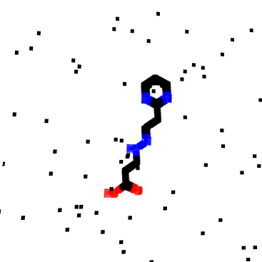 O=C(O)CCNN=CCc1ncccn1